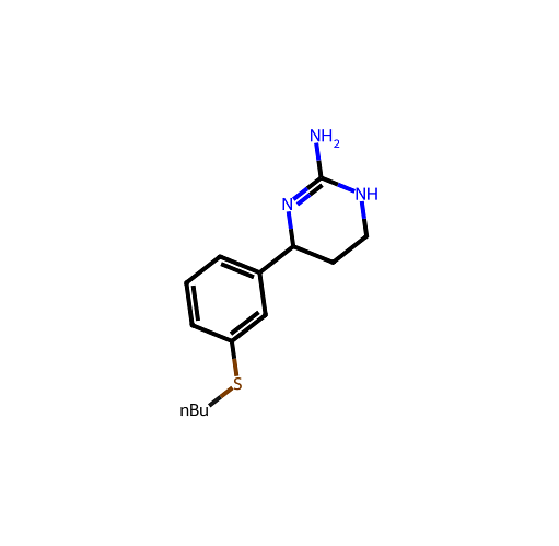 CCCCSc1cccc(C2CCNC(N)=N2)c1